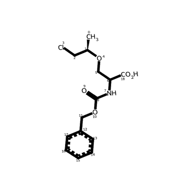 C[C@H](CCl)OCC(NC(=O)OCc1ccccc1)C(=O)O